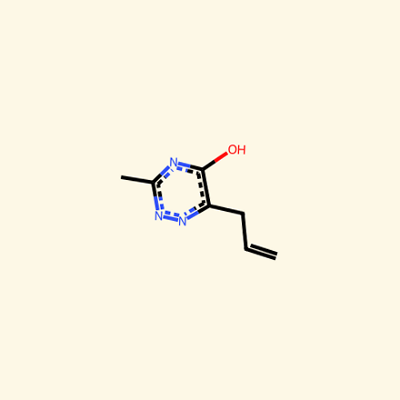 C=CCc1nnc(C)nc1O